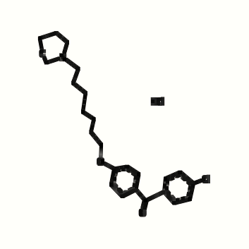 Cl.O=C(c1ccc(Cl)cc1)c1ccc(OCCCCCCCN2CCCCC2)cc1